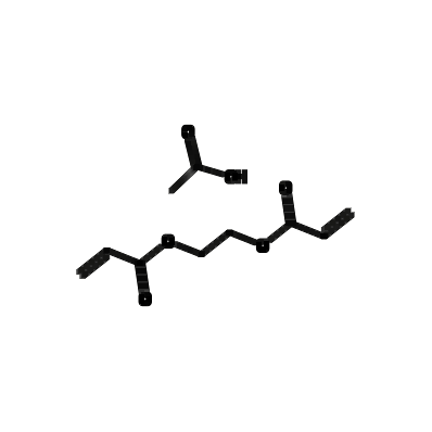 C=CC(=O)OCCOC(=O)C=C.CC(=O)O